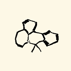 CC1(C)c2ccccc2-c2cccc3c2N1CCC3